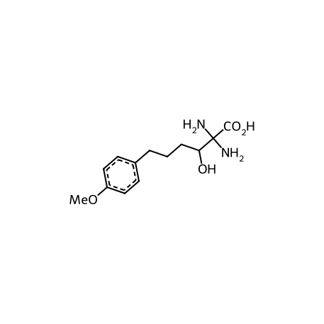 COc1ccc(CCCC(O)C(N)(N)C(=O)O)cc1